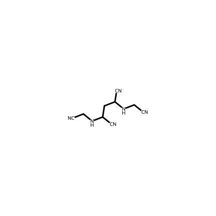 N#CCNC(C#N)CC(C#N)NCC#N